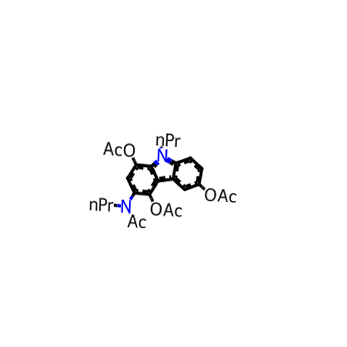 CCCN(C(C)=O)c1cc(OC(C)=O)c2c(c1OC(C)=O)c1cc(OC(C)=O)ccc1n2CCC